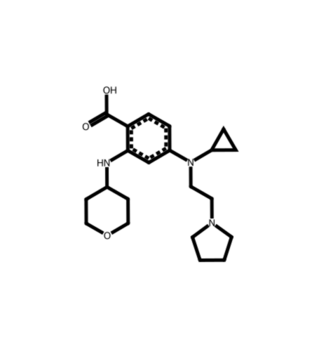 O=C(O)c1ccc(N(CCN2CCCC2)C2CC2)cc1NC1CCOCC1